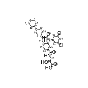 CC1CCC=C(c2ccc(N(Cc3ccc(C(=O)NC[C@@H](O)C(=O)O)cc3)C(=O)Nc3cc(Cl)cc(Cl)c3)cc2)C1